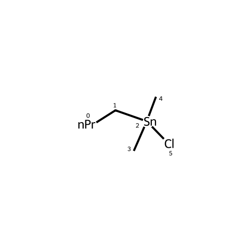 CCC[CH2][Sn]([CH3])([CH3])[Cl]